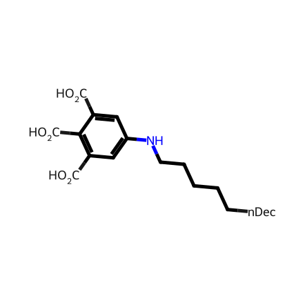 CCCCCCCCCCCCCCCNc1cc(C(=O)O)c(C(=O)O)c(C(=O)O)c1